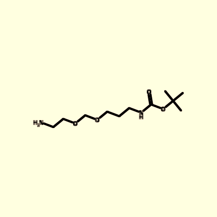 CC(C)(C)OC(=O)NCCCOCOCCN